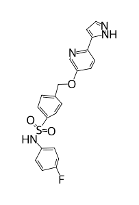 O=S(=O)(Nc1ccc(F)cc1)c1ccc(COc2ccc(-c3ccn[nH]3)nc2)cc1